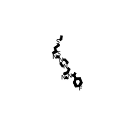 CCSCCc1cnc(N2CCN(Cc3cncn3C(C)c3ccc(F)cc3)CC2)s1